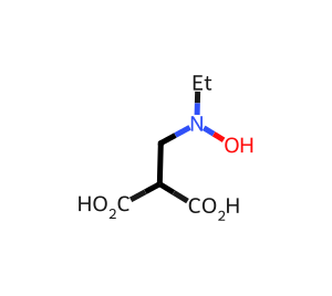 CCN(O)CC(C(=O)O)C(=O)O